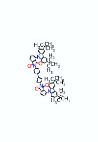 CC(C)(C)c1ccc2c(c1)c1cc(C(C)(C)C)ccc1n2-c1cccc2c1C(=O)N(c1ccc(-c3ccc(N4C(=O)c5cccc(-n6c7ccc(C(C)(C)C)cc7c7cc(C(C)(C)C)ccc76)c5C4=O)cc3)cc1)C2=O